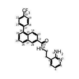 Nc1ncccc1CCNC(=O)c1ccc2c(-c3ccc(C(F)(F)F)cc3)cccc2c1